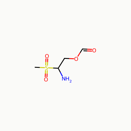 CS(=O)(=O)C(N)COC=O